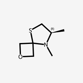 C[C@@H]1CSC2(COC2)N1C